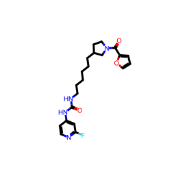 O=C(NCCCCCCC1CCN(C(=O)c2ccco2)C1)Nc1ccnc(F)c1